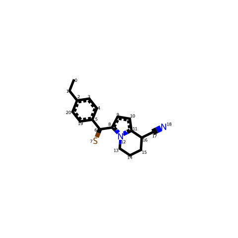 CCc1ccc(C(=S)c2ccc3n2CCCC3C#N)cc1